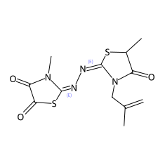 C=C(C)CN1C(=O)C(C)S/C1=N/N=C1/SC(=O)C(=O)N1C